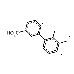 Cc1cccc(-c2cccc(C(=O)O)c2)c1C